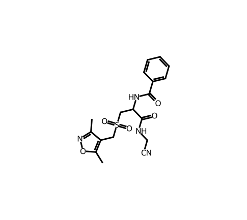 Cc1noc(C)c1CS(=O)(=O)CC(NC(=O)c1ccccc1)C(=O)NCC#N